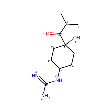 CC(C)C(=O)C1(O)CCC(NC(=N)N)CC1